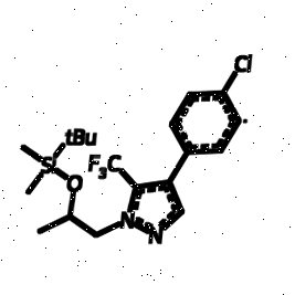 CC(Cn1ncc(-c2c[c]c(Cl)cc2)c1C(F)(F)F)O[Si](C)(C)C(C)(C)C